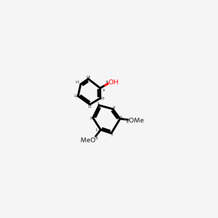 COc1cccc(OC)c1.Oc1ccccc1